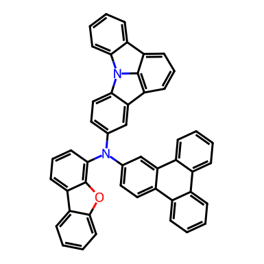 c1ccc2c(c1)oc1c(N(c3ccc4c5ccccc5c5ccccc5c4c3)c3ccc4c(c3)c3cccc5c6ccccc6n4c53)cccc12